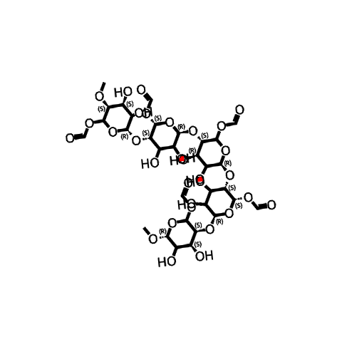 CO[C@@H]1OC(OC=O)[C@@H](O[C@@H]2O[C@@H](OC=O)[C@@H](O[C@@H]3OC(OC=O)[C@@H](O[C@@H]4O[C@@H](OC=O)[C@@H](O[C@@H]5OC(OC=O)[C@@H](OC)[C@@H](O)C5O)C(O)C4O)[C@H](O)C3O)C(O)C2O)[C@@H](O)C1O